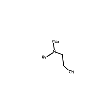 CCCCN(CCC#N)C(C)C